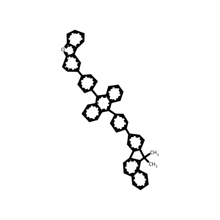 CC1(C)c2ccc(-c3ccc(-c4c5ccccc5c(-c5ccc(-c6ccc7oc8ccccc8c7c6)cc5)c5ccccc45)cc3)cc2-c2ccc3ccccc3c21